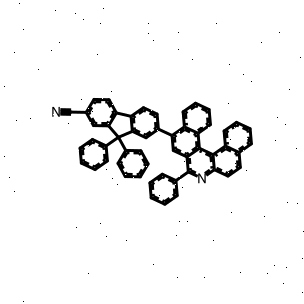 N#Cc1ccc2c(c1)C(c1ccccc1)(c1ccccc1)c1cc(-c3cc4c(-c5ccccc5)nc5ccc6ccccc6c5c4c4ccccc34)ccc1-2